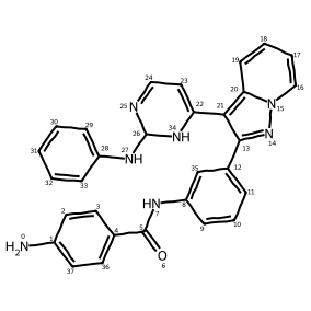 Nc1ccc(C(=O)Nc2cccc(-c3nn4ccccc4c3C3=CC=NC(Nc4ccccc4)N3)c2)cc1